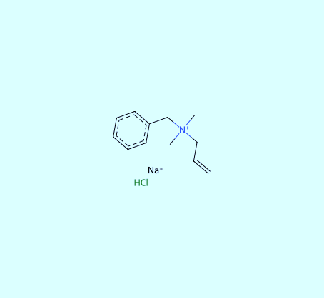 C=CC[N+](C)(C)Cc1ccccc1.Cl.[Na+]